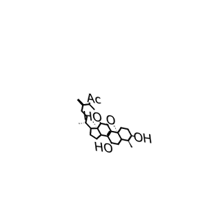 C=C(CC[C@@H](C)C1CCC2C3=C(C(=O)[C@H](O)[C@@]21C)[C@@]1(C)CC[C@@H](O)[C@@H](C)C1C[C@H]3O)C(C)C(C)=O